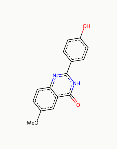 COc1ccc2nc(-c3ccc(O)cc3)[nH]c(=O)c2c1